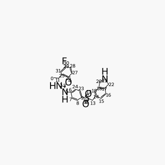 CC(NC(=O)Nc1ccc(S(=O)(=O)Cc2ccc3c(c2)CNC3)cc1)c1cccc(F)c1